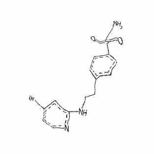 NS(=O)(=O)c1ccc(CCNc2cc(Br)ccn2)cc1